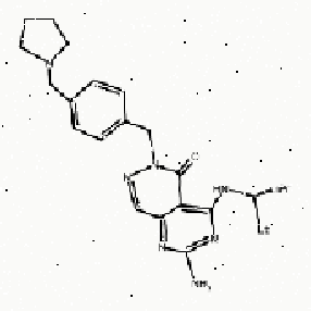 CCC[C@@H](CC)Nc1nc(N)nc2cnn(Cc3ccc(CN4CCCC4)cc3)c(=O)c12